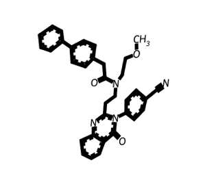 COCCN(CCc1nc2ccccc2c(=O)n1-c1ccc(C#N)cc1)C(=O)Cc1ccc(-c2ccccc2)cc1